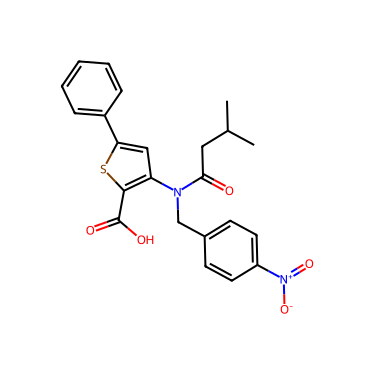 CC(C)CC(=O)N(Cc1ccc([N+](=O)[O-])cc1)c1cc(-c2ccccc2)sc1C(=O)O